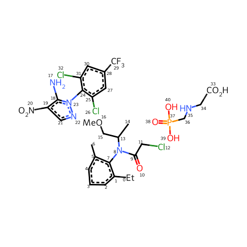 CCc1cccc(C)c1N(C(=O)CCl)C(C)COC.Nc1c([N+](=O)[O-])cnn1-c1c(Cl)cc(C(F)(F)F)cc1Cl.O=C(O)CNCP(=O)(O)O